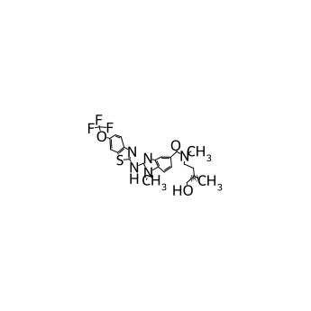 C[C@@H](CO)CCN(C)C(=O)c1ccc2c(c1)nc(Nc1nc3ccc(OC(F)(F)F)cc3s1)n2C